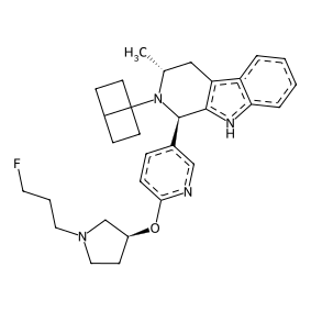 C[C@@H]1Cc2c([nH]c3ccccc23)[C@@H](c2ccc(O[C@H]3CCN(CCCF)C3)nc2)N1C12CCC1CC2